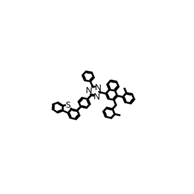 Cc1ccccc1-c1c(CC2=CC=CCC2C)cc(-c2nc(-c3ccccc3)nc(-c3ccc(-c4cccc5c4sc4ccccc45)cc3)n2)c2ccccc12